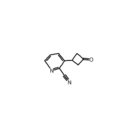 N#Cc1ncccc1C1CC(=O)C1